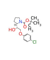 CC(C)(C)OC(=O)N1CCC[C@H]1C(O)COc1ccc(Cl)cc1